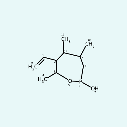 C=CC1C(C)OP(O)CC(C)C1C